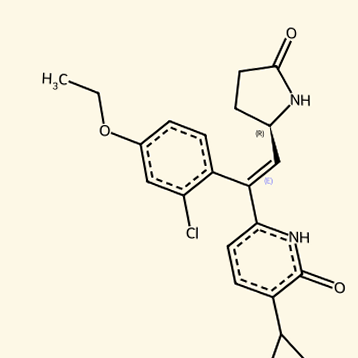 CCOc1ccc(/C(=C\[C@H]2CCC(=O)N2)c2ccc(C3CC3)c(=O)[nH]2)c(Cl)c1